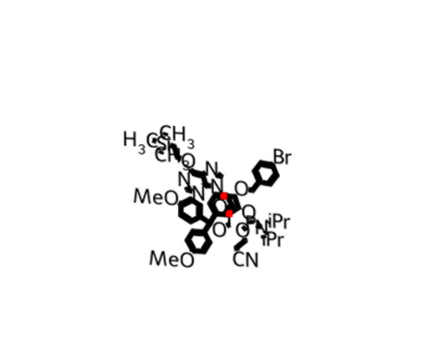 COc1ccc(C(OC[C@H]2O[C@@H](n3cnc4c(OCC[Si](C)(C)C)ncnc43)[C@H](OCc3ccc(Br)cc3)[C@@H]2OP(OCCC#N)N(C(C)C)C(C)C)(c2ccccc2)c2ccc(OC)cc2)cc1